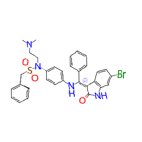 CN(C)CCN(c1ccc(N/C(=C2\C(=O)Nc3cc(Br)ccc32)c2ccccc2)cc1)S(=O)(=O)Cc1ccccc1